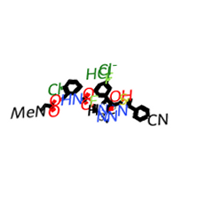 CNCC(=O)OCc1c(Cl)cccc1NC(=O)OCC[N+]1(C[C@](O)(c2cc(F)ccc2F)[C@@H](C)c2nc(-c3ccc(C#N)cc3)cs2)C=NC=N1.Cl.[Cl-]